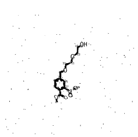 COC(=O)c1ccc(COCCOCCO)cc1[N+](=O)[O-]